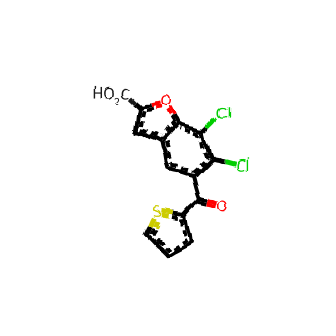 O=C(O)c1cc2cc(C(=O)c3cccs3)c(Cl)c(Cl)c2o1